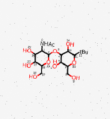 CC(=O)NC1C(OC2C(O)C(CO)OC(C(C)(C)C)C2O)OC(CO)C(O)C1O